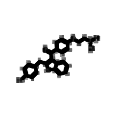 CCc1ccc(Cc2oc3ccccc3c2C(=O)c2ccc(OCCN(CC)CC)cc2)cc1